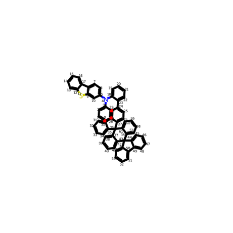 c1ccc(N(c2ccc3c(c2)sc2ccccc23)c2ccccc2-c2ccc3c(c2)-c2ccccc2C32c3ccccc3C3(c4ccccc4-c4ccccc43)c3ccccc32)cc1